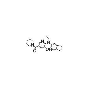 CCN(c1ccc2c(c1)CCC2)c1ncc(C(=O)N2CCCCC2)cc1O